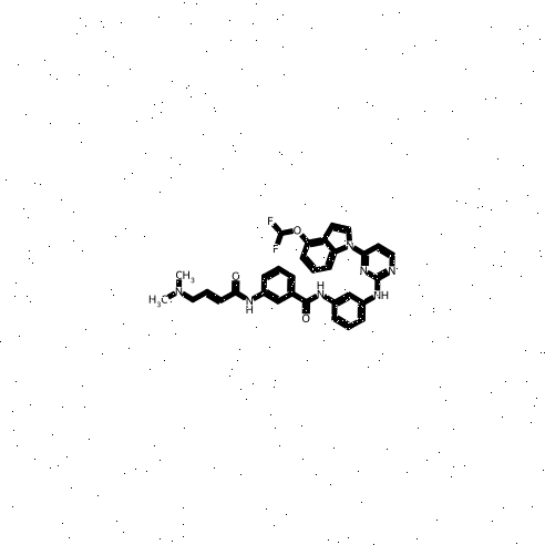 CN(C)CC=CC(=O)Nc1cccc(C(=O)Nc2cccc(Nc3nccc(-n4ccc5c(OC(F)F)cccc54)n3)c2)c1